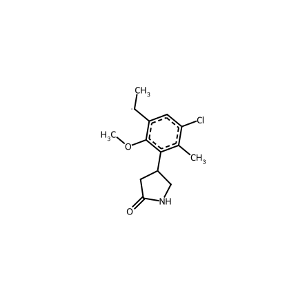 C[CH]c1cc(Cl)c(C)c(C2CNC(=O)C2)c1OC